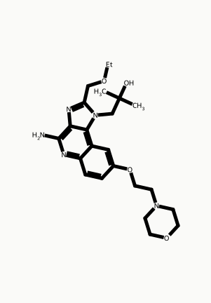 CCOCc1nc2c(N)nc3ccc(OCCN4CCOCC4)cc3c2n1CC(C)(C)O